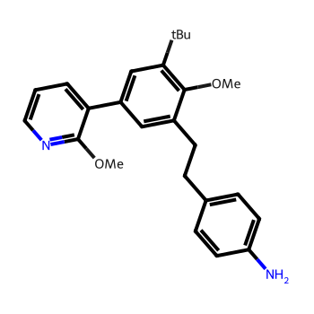 COc1ncccc1-c1cc(CCc2ccc(N)cc2)c(OC)c(C(C)(C)C)c1